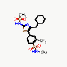 CC(C)(C)NS(=O)(=O)c1ccc(-c2sc(NS(C)(=O)=O)nc2CC2CCCCC2)cc1C(F)(F)F